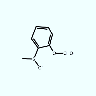 C[S+]([O-])c1ccccc1O[C]=O